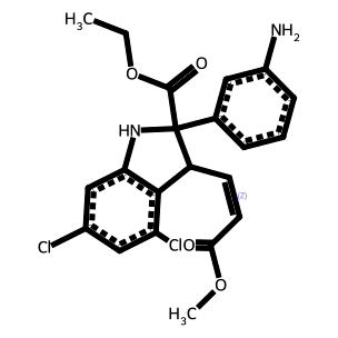 CCOC(=O)C1(c2cccc(N)c2)Nc2cc(Cl)cc(Cl)c2C1/C=C\C(=O)OC